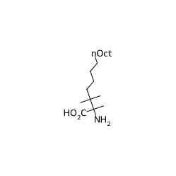 CCCCCCCCCCCCC(C)(C)C(C)(N)C(=O)O